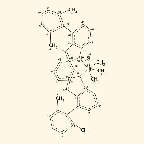 Cc1cccc(C)c1-c1cccc2c1C=C[CH]2[Hf]([CH3])([CH3])([CH3])(=[SiH2])([c]1ccccc1)[CH]1C=Cc2c(-c3c(C)cccc3C)cccc21